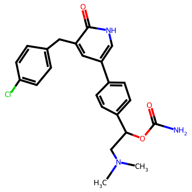 CN(C)CC(OC(N)=O)c1ccc(-c2c[nH]c(=O)c(Cc3ccc(Cl)cc3)c2)cc1